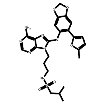 Cc1ccc(-c2cc3c(cc2Sc2nc4c(N)ncnc4n2CCCNS(=O)(=O)CC(C)C)OCO3)o1